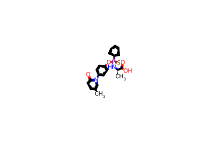 Cc1ccc(=O)n(-c2ccc(OP(=S)(N[C@@H](C)C(=O)O)c3ccccc3)cc2)c1